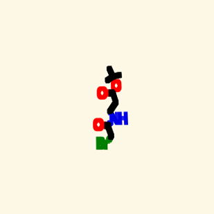 CC(C)(C)OC(=O)CCNC(=O)CBr